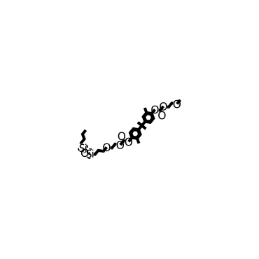 CCCC[Si](C)(C)O[Si](C)(C)CCCOCCOC(=O)Oc1ccc(C(C)(C)c2ccc(OC(=O)OCCOC)c(C)c2)cc1C